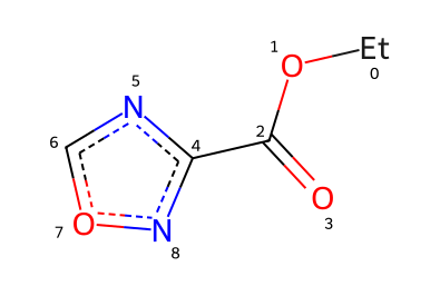 CCOC(=O)c1ncon1